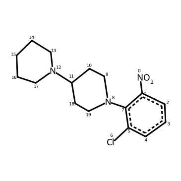 O=[N+]([O-])c1cccc(Cl)c1N1CCC(N2CCCCC2)CC1